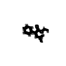 CCOC(=O)C(=CN(C)C)c1ccncc1